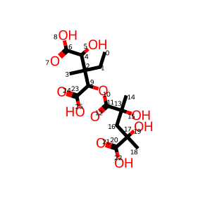 CCC(C)(C(O)C(=O)O)C(OC(=O)C(C)(O)CC(C)(O)C(=O)O)C(=O)O